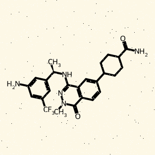 C[C@@H](Nc1nn(C)c(=O)c2ccc(C3CCC(C(N)=O)CC3)cc12)c1cc(N)cc(C(F)(F)F)c1